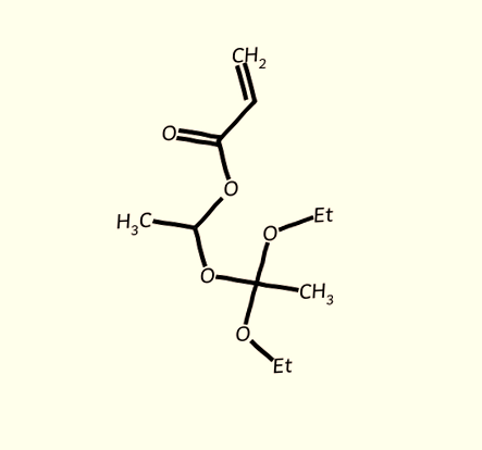 C=CC(=O)OC(C)OC(C)(OCC)OCC